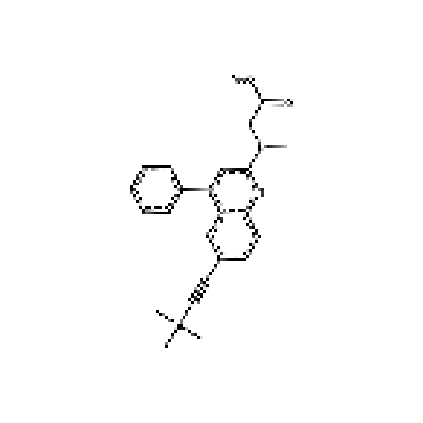 COC(=O)CN(C)c1cc(-c2ccccc2)c2cc(C#C[Si](C)(C)C)ccc2n1